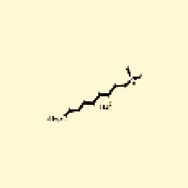 Br.CCCCCCCCCCCCCCCP(C)C